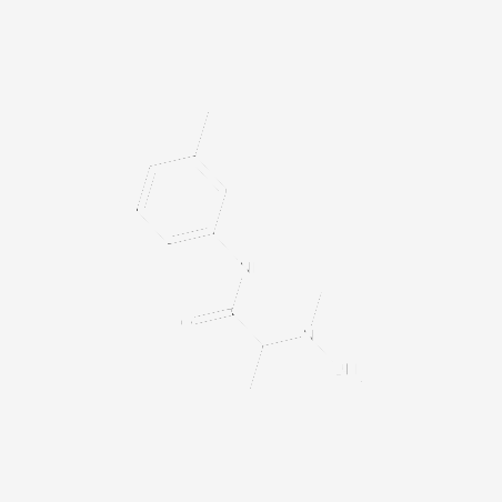 BN(C)C(C)C(=O)Nc1cccc(C)c1